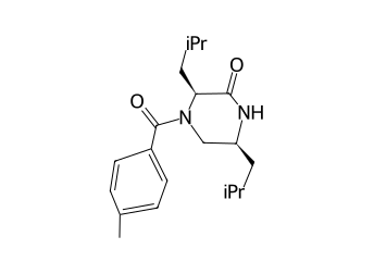 Cc1ccc(C(=O)N2C[C@H](CC(C)C)NC(=O)[C@@H]2CC(C)C)cc1